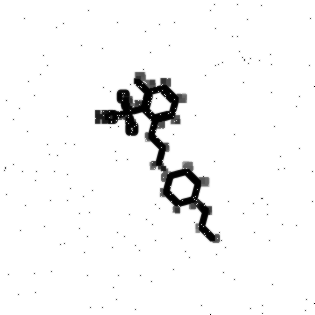 CCC[C@H]1CC[C@H](CCCc2cccc(C)c2S(=O)(=O)O)CC1